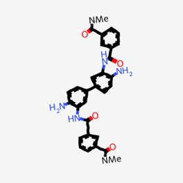 CNC(=O)c1cccc(C(=O)Nc2cc(-c3ccc(N)c(NC(=O)c4cccc(C(=O)NC)c4)c3)ccc2N)c1